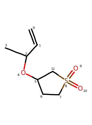 C=CC(C)OC1CCS(=O)(=O)C1